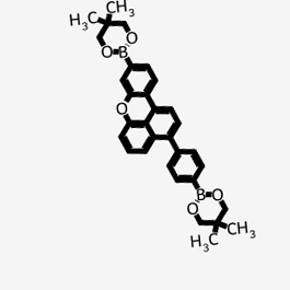 CC1(C)COB(c2ccc(-c3ccc4c5c(cccc35)Oc3cc(B5OCC(C)(C)CO5)ccc3-4)cc2)OC1